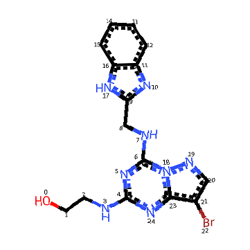 OCCNc1nc(NCc2nc3ccccc3[nH]2)n2ncc(Br)c2n1